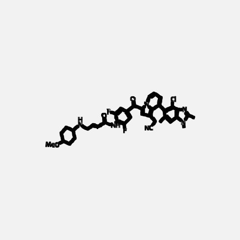 COC1CCC(NC/C=C/C(=O)Nc2c(F)cc(C(=O)c3cc(CC#N)c4c(-c5c(C)cc6c(nc(C)n6C)c5Cl)cccn34)cc2F)CC1